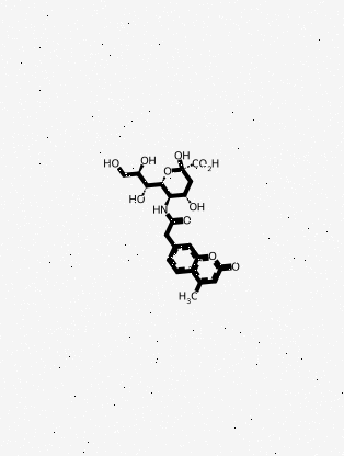 Cc1cc(=O)oc2cc(CC(=O)N[C@H]3[C@H]([C@H](O)[C@H](O)CO)O[C@](O)(C(=O)O)C[C@@H]3O)ccc12